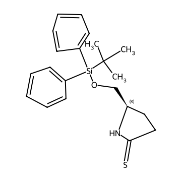 CC(C)(C)[Si](OC[C@H]1CCC(=S)N1)(c1ccccc1)c1ccccc1